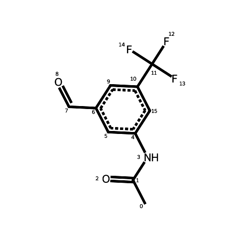 CC(=O)Nc1cc(C=O)cc(C(F)(F)F)c1